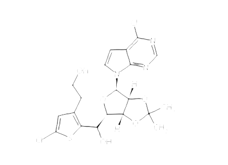 CC1(C)O[C@@H]2[C@H](O1)[C@@H](C(O)c1sc(Cl)cc1CCO)O[C@H]2n1ccc2c(Cl)ncnc21